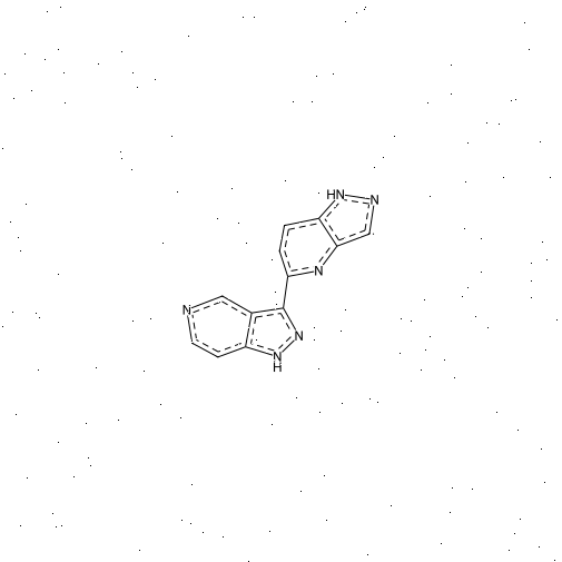 [c]1n[nH]c2ccc(-c3n[nH]c4ccncc34)nc12